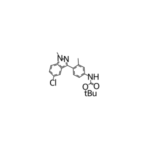 Cc1cc(NC(=O)OC(C)(C)C)ccc1-c1nn(C)c2ccc(Cl)cc12